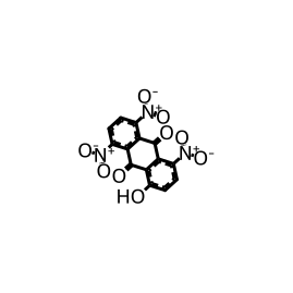 O=C1c2c(O)ccc([N+](=O)[O-])c2C(=O)c2c([N+](=O)[O-])ccc([N+](=O)[O-])c21